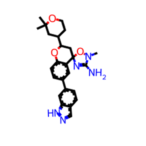 CN1OC2(CC(C3CCOC(C)(C)C3)Oc3ccc(-c4ccc5cn[nH]c5c4)cc32)N=C1N